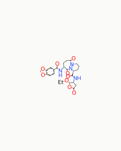 CCOC1OC(=O)C[C@@H]1NC(=O)[C@@H]1CCCN2C(=O)CC[C@H](NC(=O)c3ccc4c(c3)OCO4)C(=O)N12